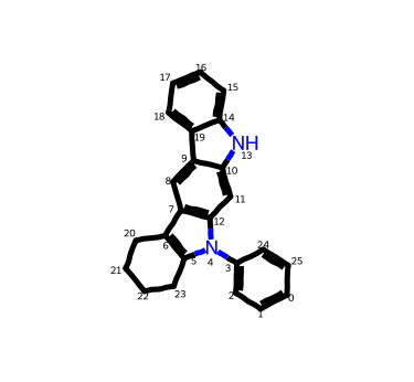 c1ccc(-n2c3c(c4cc5c(cc42)[nH]c2ccccc25)CCCC3)cc1